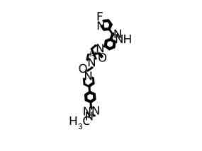 Cn1cnc(-c2ccc(C3=CCN(C(=O)CN4CC[C@]5(CCN(c6ccc7[nH]nc(-c8ccc(F)nc8)c7c6)C5=O)C4)CC3)cc2)n1